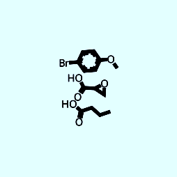 CCCC(=O)O.COc1ccc(Br)cc1.O=C(O)C1CO1